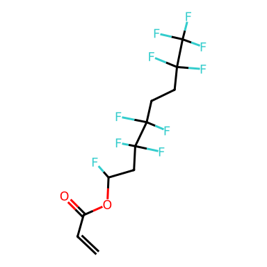 C=CC(=O)OC(F)CC(F)(F)C(F)(F)CCC(F)(F)C(F)(F)F